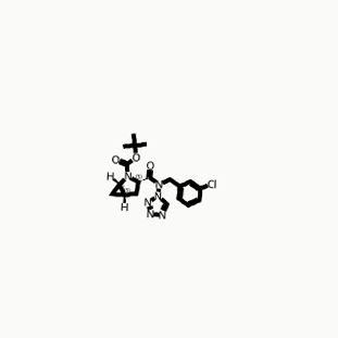 CC(C)(C)OC(=O)N1[C@H](C(=O)N(Cc2cccc(Cl)c2)n2cnnn2)C[C@@H]2C[C@@H]21